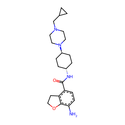 Nc1ccc(C(=O)N[C@H]2CC[C@H](N3CCN(CC4CC4)CC3)CC2)c2c1OCC2